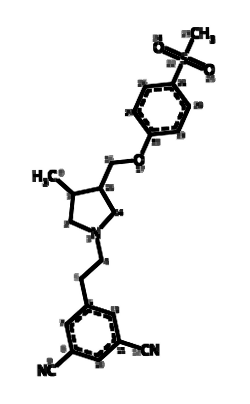 CC1CN(CCc2cc(C#N)cc(C#N)c2)CC1COc1ccc(S(C)(=O)=O)cc1